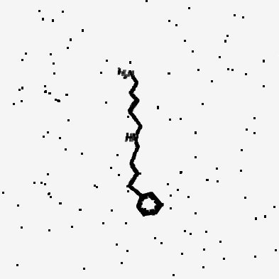 NCCCCCNCCCCc1ccccc1